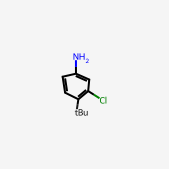 CC(C)(C)c1ccc(N)cc1Cl